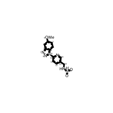 COc1ccc2c(c1)nnn2-c1ccc(CN[SH](=O)=O)cn1